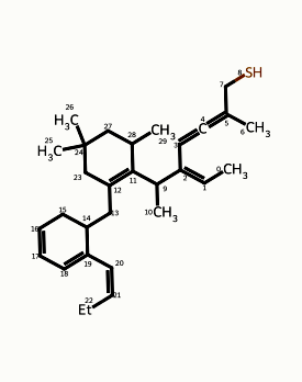 C/C=C(\C=C=C(C)CS)C(C)C1=C(CC2CC=CC=C2/C=C\CC)CC(C)(C)CC1C